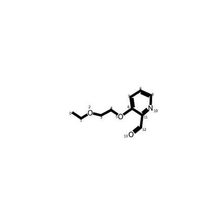 CCOCCOc1cccnc1C=O